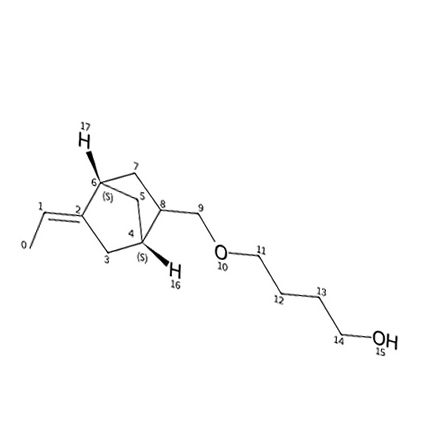 CC=C1C[C@@H]2C[C@H]1CC2COCCCCO